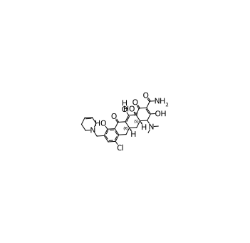 CN(C)C1C(O)=C(C(N)=O)C(=O)[C@@]2(O)C(O)=C3C(=O)c4c(O)c(CN5CC=CCC5)cc(Cl)c4C[C@H]3C[C@@H]12